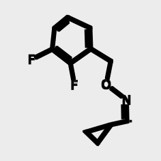 Fc1cccc(CO/N=[C]\C2CC2)c1F